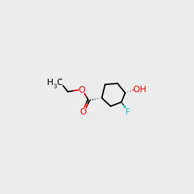 CCOC(=O)[C@@H]1CC[C@H](O)[C@@H](F)C1